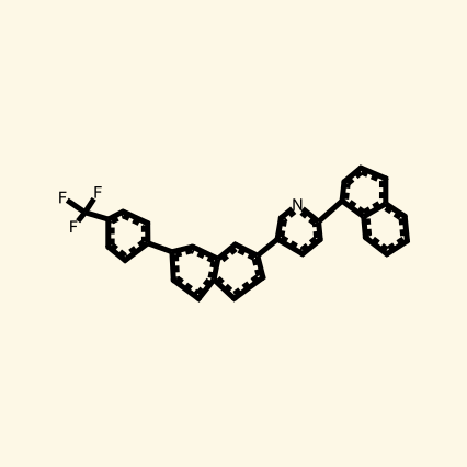 FC(F)(F)c1ccc(-c2ccc3ccc(-c4ccc(-c5cccc6ccccc56)nc4)cc3c2)cc1